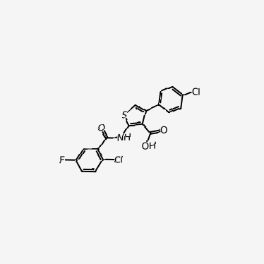 O=C(Nc1scc(-c2ccc(Cl)cc2)c1C(=O)O)c1cc(F)ccc1Cl